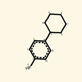 [PH]c1ccc(C2CCCCC2)cc1